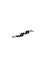 CCCCC1CCC(COC2CCC(CCCCC#N)CC2)CC1